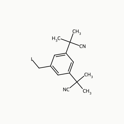 CC(C)(C#N)c1cc(CI)cc(C(C)(C)C#N)c1